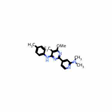 COc1nc(-c2ccnc(N(C)C)c2)nc(Nc2ccc(C)cc2)c1C(F)(F)F